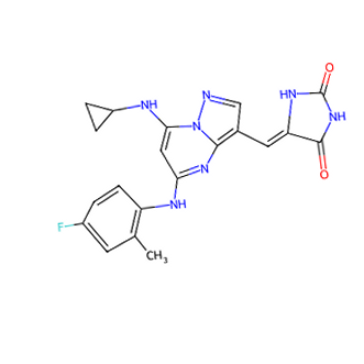 Cc1cc(F)ccc1Nc1cc(NC2CC2)n2ncc(/C=C3\NC(=O)NC3=O)c2n1